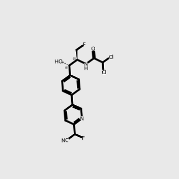 N#CC(F)c1ccc(-c2ccc([C@H](O)[C@@H](CF)NC(=O)C(Cl)Cl)cc2)cn1